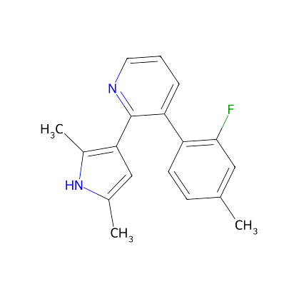 Cc1ccc(-c2cccnc2-c2cc(C)[nH]c2C)c(F)c1